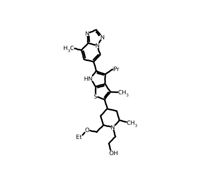 CCOCC1CC(c2sc3[nH]c(-c4cc(C)c5ncnn5c4)c(C(C)C)c3c2C)CC(C)N1CCO